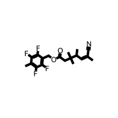 C/C(C#N)=C/C(C)C(C)(C)CC(=O)OCc1c(F)c(F)c(C)c(F)c1F